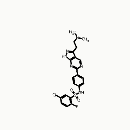 CN(C)CCc1n[nH]c2nc(-c3ccc(NS(=O)(=O)c4cc(Cl)ccc4F)cc3)ncc12